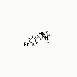 CCc1ccc(CCN2NC=C(C)N2C)cc1